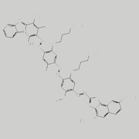 CCCOc1cc(N=Nc2cc(OCCCS(=O)(=O)O)c(N=Nc3c(C)c(C#N)c4nc5ccccc5n4c3O)cc2C)c(SCCCS(=O)(=O)O)cc1N=Nc1nc2c(S(=O)(=O)O)cc3ccc(S(=O)(=O)O)cc3c2s1